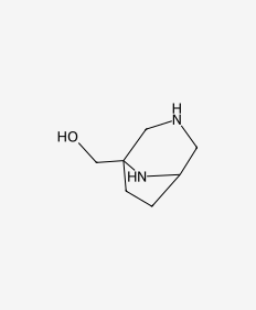 OCC12CCC(CNC1)N2